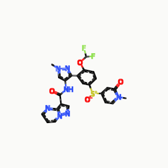 Cn1cc(NC(=O)c2cnn3cccnc23)c(-c2cc([S+]([O-])c3ccn(C)c(=O)c3)ccc2OC(F)F)n1